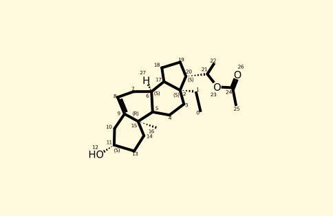 CC[C@]12CCC3[C@@H](CC=C4C[C@@H](O)CC[C@@]43C)C1CC[C@@H]2C(C)OC(C)=O